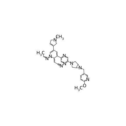 C/C=N\N1C=C(C2=CCN(C)C2)C=C(c2cnc(N3CC4C(C3)N4Cc3ccc(OC)nc3)cn2)/C1=C\C#N